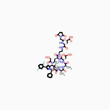 CC(=O)N[C@@H](C)C(=O)N[C@H](C)C(=O)N[C@@H](CC(=O)O)C(=O)N[C@@H](CCN(C(=O)CO)[C@@H](c1cc(-c2cc(F)ccc2F)cn1Cc1ccccc1)C(C)(C)C)C(=O)NCCNC(=O)[C@@H](CCC(=O)O)NC(=O)CN1C(=O)C=CC1=O